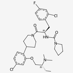 CC[C@H](COc1cc(Cl)ccc1C1CCN(C(=O)[C@@H](Cc2ccc(F)cc2Cl)NC(=O)N2CCCC2)CC1)N(C)C